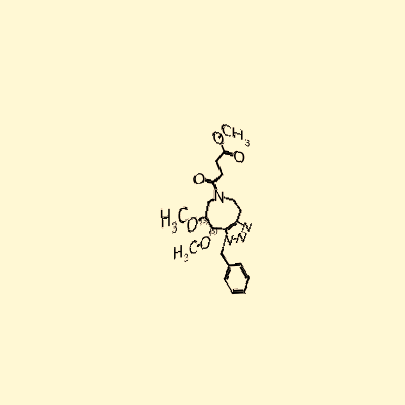 COC(=O)CCC(=O)N1CCc2nnn(Cc3ccccc3)c2[C@H](OC)[C@@H](OC)C1